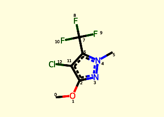 COc1nn(C)c(C(F)(F)F)c1Cl